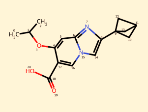 CC(C)Oc1cc2nc(C34CC(C3)C4)cn2cc1C(=O)O